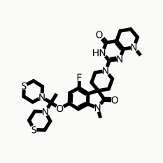 CN1CCCc2c1nc(N1CCC3(CC1)C(=O)N(C)c1cc(OC(C)(N4CCSCC4)N4CCSCC4)cc(F)c13)[nH]c2=O